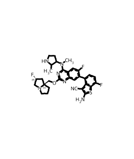 CC1NCCC1N(C)c1nc(OC[C@@]23CCCN2C[C@H](F)C3)nc2cc(-c3ccc(F)c4sc(N)c(C#N)c34)c(F)cc12